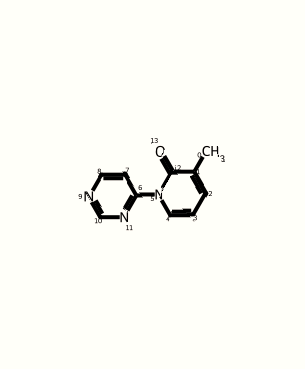 Cc1cccn(-c2ccncn2)c1=O